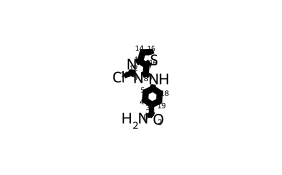 NC(=O)c1ccc(Nc2nc(Cl)nc3ccsc23)cc1